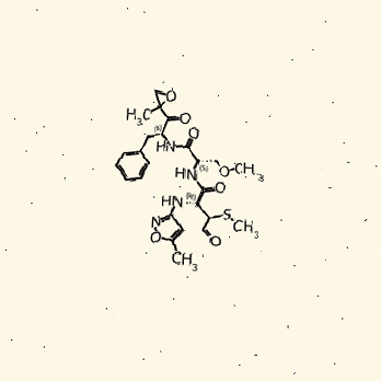 COC[C@H](NC(=O)[C@@H](Nc1cc(C)on1)C(C=O)SC)C(=O)N[C@@H](Cc1ccccc1)C(=O)C1(C)CO1